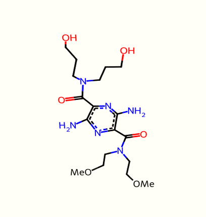 COCCN(CCOC)C(=O)c1nc(N)c(C(=O)N(CCCO)CCCO)nc1N